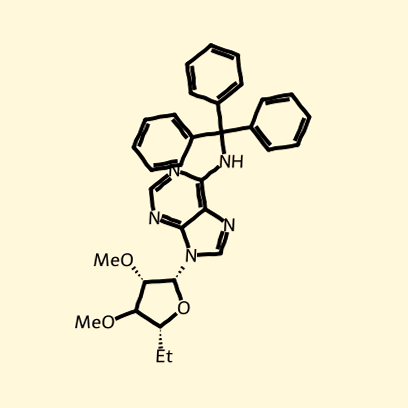 CC[C@H]1O[C@@H](n2cnc3c(NC(c4ccccc4)(c4ccccc4)c4ccccc4)ncnc32)[C@@H](OC)C1OC